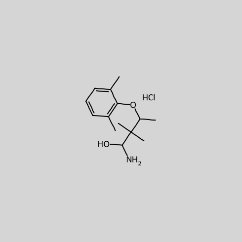 Cc1cccc(C)c1OC(C)C(C)(C)C(N)O.Cl